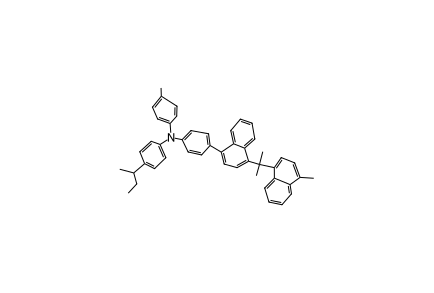 CCC(C)c1ccc(N(c2ccc(C)cc2)c2ccc(-c3ccc(C(C)(C)c4ccc(C)c5ccccc45)c4ccccc34)cc2)cc1